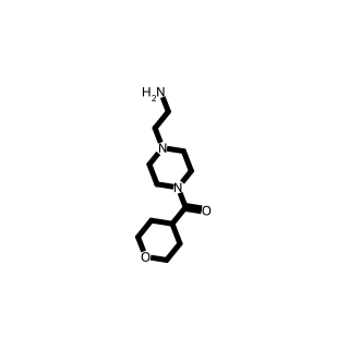 NCCN1CCN(C(=O)C2CCOCC2)CC1